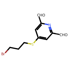 O=Cc1cc(SCCCBr)cc(C=O)n1